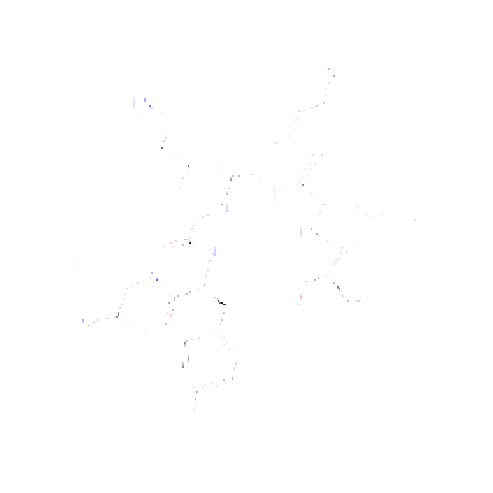 CN[C@@H](CO)C(=O)N[C@@H](CCC(=O)O)C(=O)N[C@@H](CCCCN)C(=O)N[C@@H](CCCCN)C(=O)N[C@@H](Cc1ccc(O)cc1)C(=O)N[C@@H](CC(C)C)C(N)=O